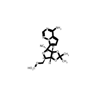 CC1(C)O[C@H]2[C@@H](O1)[C@](C#N)(c1ccc3c(N)ncnn13)O[C@@H]2COC(=O)O